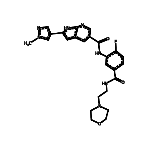 Cn1cc(-c2cc3cc(C(=O)Nc4cc(C(=O)NCCN5CCOCC5)ccc4F)cnc3[nH]2)cn1